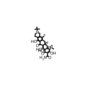 CN(C)[C@@H]1C(O)=C(C(N)=O)C(=O)[C@@]2(O)C(O)=C3C(=O)c4c(O)c5c(c(F)c4C[C@H]3C[C@@H]12)CN(C(C)(C)C)CC5